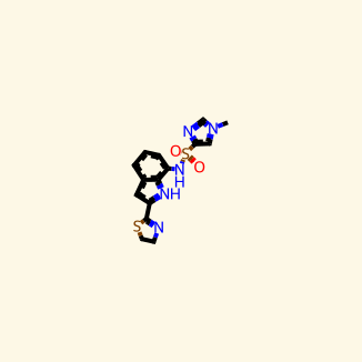 Cn1cnc(S(=O)(=O)Nc2cccc3cc(C4=NCCS4)[nH]c23)c1